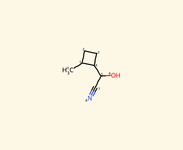 CC1CCC1C(O)C#N